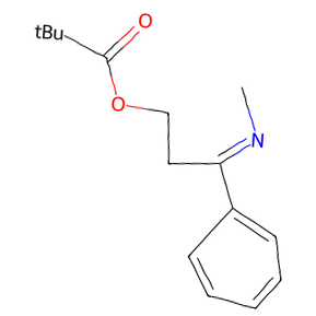 C/N=C(\CCOC(=O)C(C)(C)C)c1ccccc1